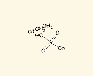 O.O.O=S(=O)(O)O.[Cd]